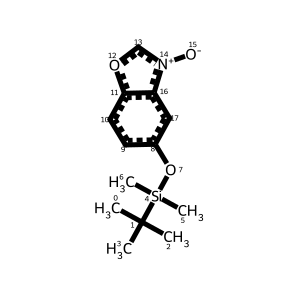 CC(C)(C)[Si](C)(C)Oc1ccc2oc[n+]([O-])c2c1